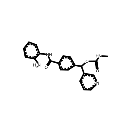 CNC(=O)OC(c1ccc(C(=O)Nc2ccccc2N)cc1)c1cccnc1